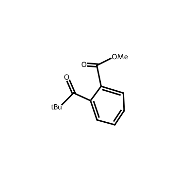 COC(=O)c1ccccc1C(=O)C(C)(C)C